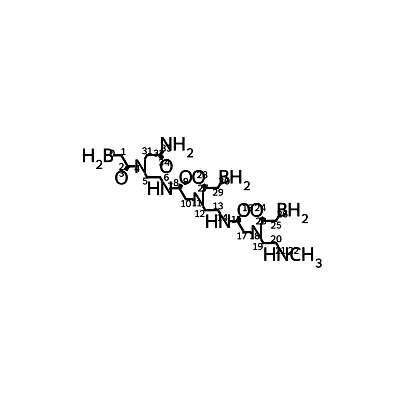 BCC(=O)N(CCNC(=O)CN(CCNC(=O)CN(CCNC)C(=O)CB)C(=O)CB)CC(N)=O